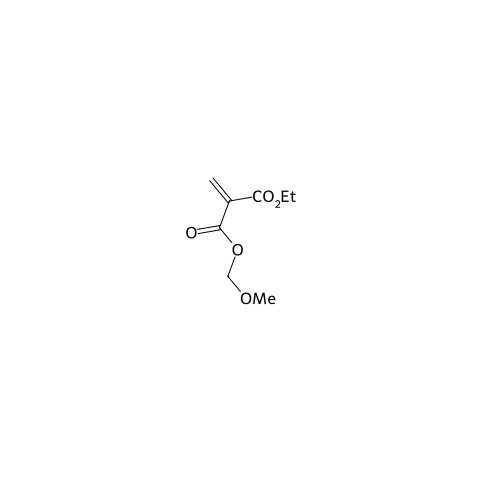 C=C(C(=O)OCC)C(=O)OCOC